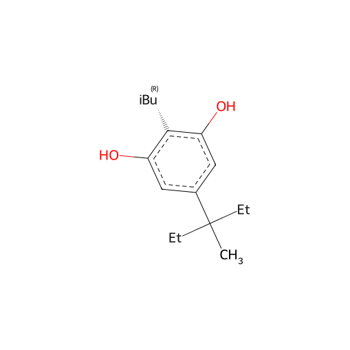 CC[C@@H](C)c1c(O)cc(C(C)(CC)CC)cc1O